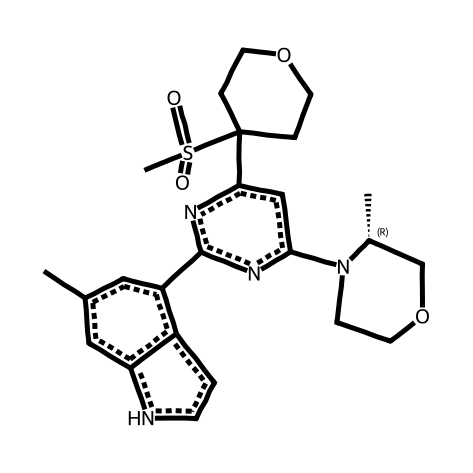 Cc1cc(-c2nc(N3CCOC[C@H]3C)cc(C3(S(C)(=O)=O)CCOCC3)n2)c2cc[nH]c2c1